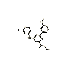 CCCC(C)c1cc(Nc2cccc(F)c2)cc(-c2cncc(OC)c2)n1